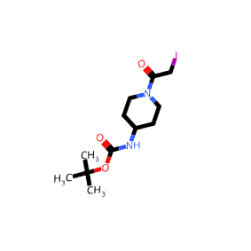 CC(C)(C)OC(=O)NC1CCN(C(=O)CI)CC1